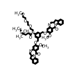 COCCOCCOCCN(C(=O)CCC(C)(C)SSC)c1cc(COc2cc3c(cc2OC)C(=O)N2c4ccccc4CC2C=N3)cc(COc2cc3c(cc2OC)C(=O)N2c4ccccc4CC2C=N3)c1